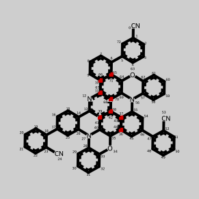 N#Cc1cccc(-c2cccc(-c3nc(-c4ccc(-c5ccccc5C#N)cc4N4c5ccccc5Oc5ccccc54)nc(-c4ccc(-c5ccccc5C#N)cc4N4c5ccccc5Oc5ccccc54)n3)c2)c1